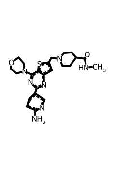 CNC(=O)C1CCN(Cc2cc3nc(-c4ccc(N)nc4)nc(N4CCOCC4)c3s2)CC1